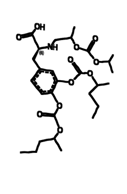 CCCC(C)OC(=O)Oc1ccc(C[C@H](NCC(C)OC(=O)OC(C)C)C(=O)O)cc1OC(=O)OC(C)CCC